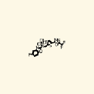 CCS(=O)(=O)N(Cc1ncc(-c2nnc(C(F)F)o2)s1)c1nc2cc(F)ccc2o1